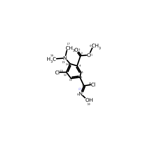 COC(=O)c1cc(/C(Cl)=N/O)cc(Cl)c1N(C)C